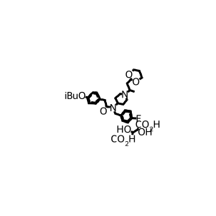 CC(C)COc1ccc(CC(=O)N(Cc2ccc(F)cc2)C2CCN(C(C)CC3OCCCO3)CC2)cc1.O=C(O)C(O)C(O)C(=O)O